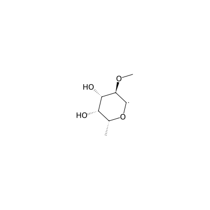 CO[C@H]1[CH]O[C@H](C)[C@H](O)[C@@H]1O